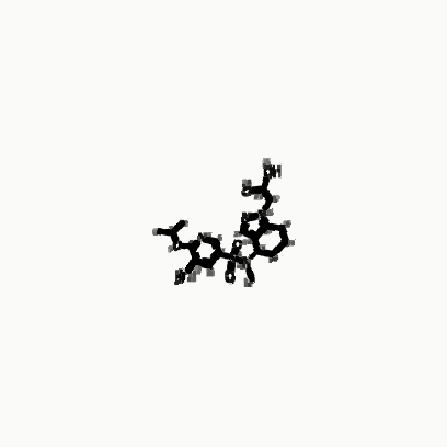 CC(C)Oc1ncc(S(=O)(=O)N(C)[C@@H]2CCCc3c2cnn3CC(=O)O)cc1Br